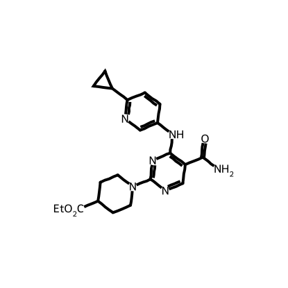 CCOC(=O)C1CCN(c2ncc(C(N)=O)c(Nc3ccc(C4CC4)nc3)n2)CC1